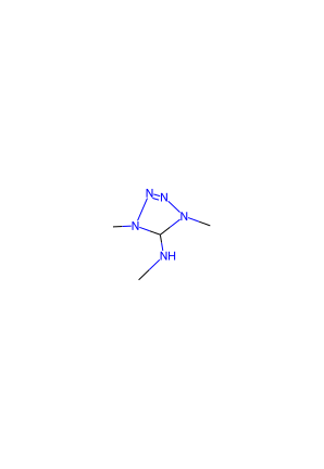 CNC1N(C)N=NN1C